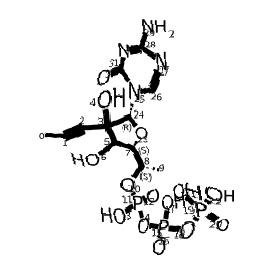 CC#CC1(O)C(O)[C@@H]([C@H](C)OP(=O)(O)OP(=O)(O)OP(=O)(O)O)O[C@H]1n1cnc(N)nc1=O